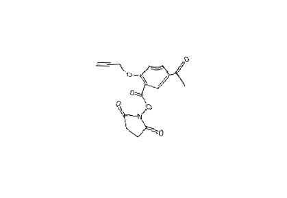 C#CCOc1ccc(C(C)=O)cc1C(=O)ON1C(=O)CCC1=O